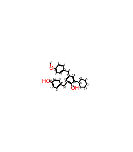 COc1ccc(Cc2cc(Cc3ccc(O)cc3)c(O)c(C3CCCCC3)c2)cc1